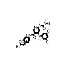 CCNC(=O)Nc1cc(Nc2cc(Cl)cc(Cl)c2)c(C(=O)Nc2ccc(CC(CC)C(=O)O)cc2)cn1